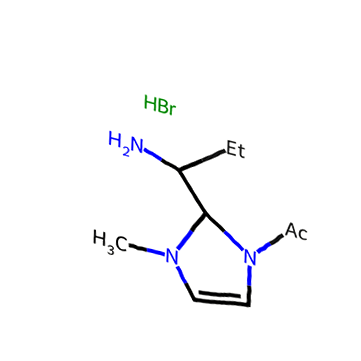 Br.CCC(N)C1N(C)C=CN1C(C)=O